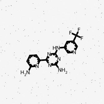 Nc1cccc(-c2nc(N)nc(Nc3cncc(C(F)(F)F)c3)n2)n1